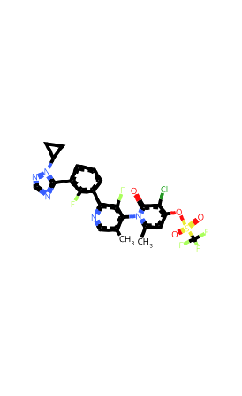 Cc1cnc(-c2cccc(-c3ncnn3C3CC3)c2F)c(F)c1-n1c(C)cc(OS(=O)(=O)C(F)(F)F)c(Cl)c1=O